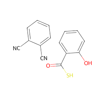 N#Cc1ccccc1C#N.O=C(S)c1ccccc1O